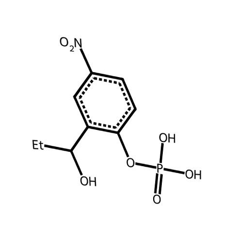 CCC(O)c1cc([N+](=O)[O-])ccc1OP(=O)(O)O